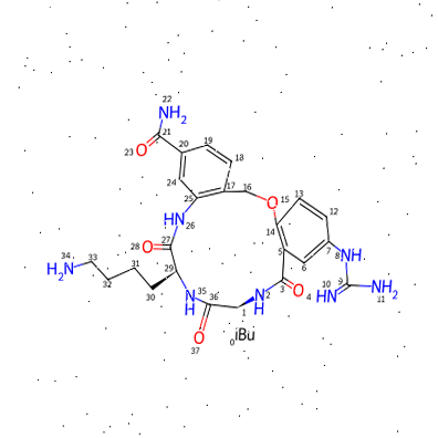 CC[C@H](C)[C@@H]1NC(=O)c2cc(NC(=N)N)ccc2OCc2ccc(C(N)=O)cc2NC(=O)[C@H](CCCCN)NC1=O